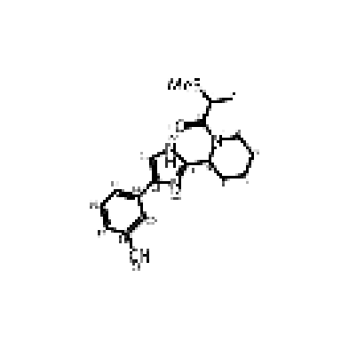 CSC(C)C(=O)N1CCCCC1c1nc(-c2cccc(C#N)c2)c[nH]1